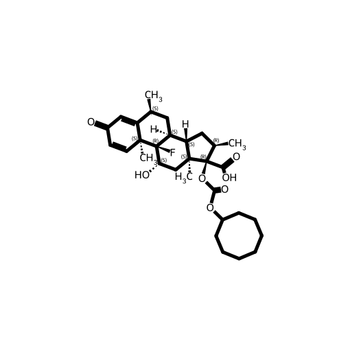 C[C@@H]1C[C@H]2[C@@H]3C[C@H](C)C4=CC(=O)C=C[C@]4(C)[C@@]3(F)[C@@H](O)C[C@]2(C)[C@@]1(OC(=O)OC1CCCCCCC1)C(=O)O